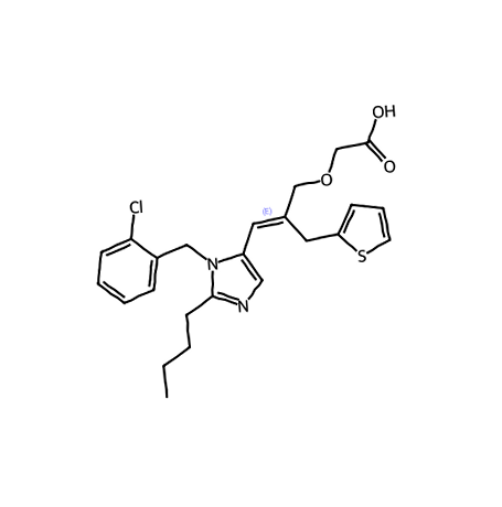 CCCCc1ncc(/C=C(/COCC(=O)O)Cc2cccs2)n1Cc1ccccc1Cl